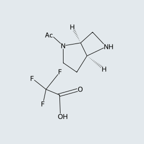 CC(=O)N1CC[C@@H]2NC[C@@H]21.O=C(O)C(F)(F)F